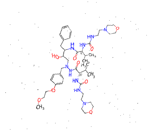 COCCOc1ccc(CN(CC(O)C(Cc2ccccc2)NC(=O)[C@@H](NC(=O)NCCN2CCOCC2)C(C)C)NC(=O)[C@@H](NC(=O)NCCN2CCOCC2)C(C)C)cc1